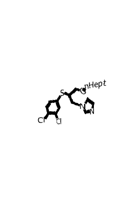 CCCCCCCOCC(Cn1ccnc1)Sc1ccc(Cl)c(Cl)c1